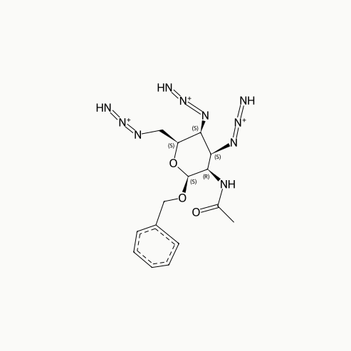 CC(=O)N[C@H]1[C@@H](OCc2ccccc2)O[C@@H](CN=[N+]=N)[C@@H](N=[N+]=N)[C@H]1N=[N+]=N